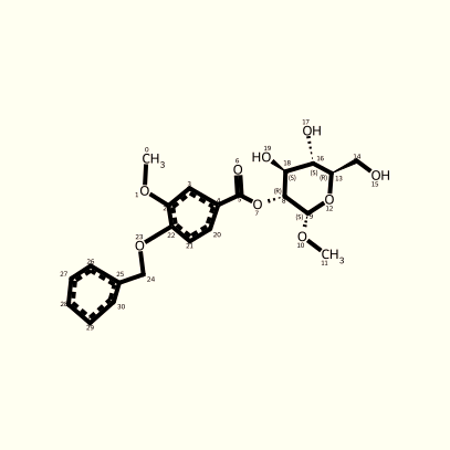 COc1cc(C(=O)O[C@H]2[C@@H](OC)O[C@H](CO)[C@@H](O)[C@@H]2O)ccc1OCc1ccccc1